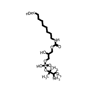 CCCCCCCCCCCCCCCCCCNC(=O)OCC(O)COP(=O)(O)OC(C)(C)C(C)N